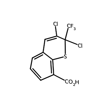 O=C(O)c1cccc2c1SC(Cl)(C(F)(F)F)C(Cl)=C2